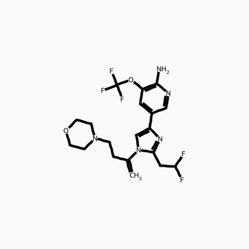 C=C(CCN1CCOCC1)n1cc(-c2cnc(N)c(OC(F)(F)F)c2)nc1CC(F)F